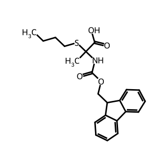 CCCCSC(C)(NC(=O)OCC1c2ccccc2-c2ccccc21)C(=O)O